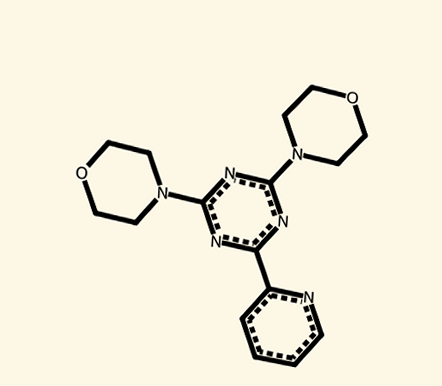 c1ccc(-c2nc(N3CCOCC3)nc(N3CCOCC3)n2)nc1